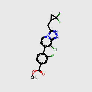 COC(=O)c1ccc(-c2ccn3c(CC4CC4(F)F)nnc3c2Cl)c(F)c1